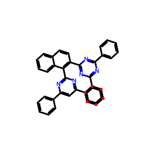 c1ccc(-c2cc(-c3ccccc3)nc(-c3c(-c4nc(-c5ccccc5)nc(-c5ccccc5)n4)ccc4ccccc34)n2)cc1